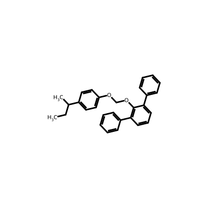 CCC(C)c1ccc(OCOc2c(-c3ccccc3)cccc2-c2ccccc2)cc1